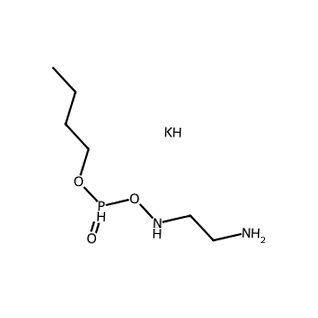 CCCCO[PH](=O)ONCCN.[KH]